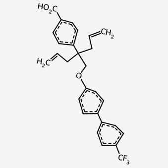 C=CCC(CC=C)(COc1ccc(-c2ccc(C(F)(F)F)cc2)cc1)c1ccc(C(=O)O)cc1